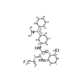 C=C(/C=C(\Nc1cccc(CC)c1)C(=O)Nc1cccc(C(c2ccccc2)N(C)C)c1)C(F)(F)F